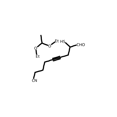 CCOC(C)OCC.N#CCCCC#CCC(S)C=O